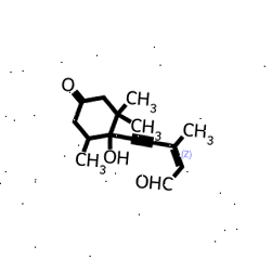 C/C(C#CC1(O)C(C)CC(=O)CC1(C)C)=C/C=O